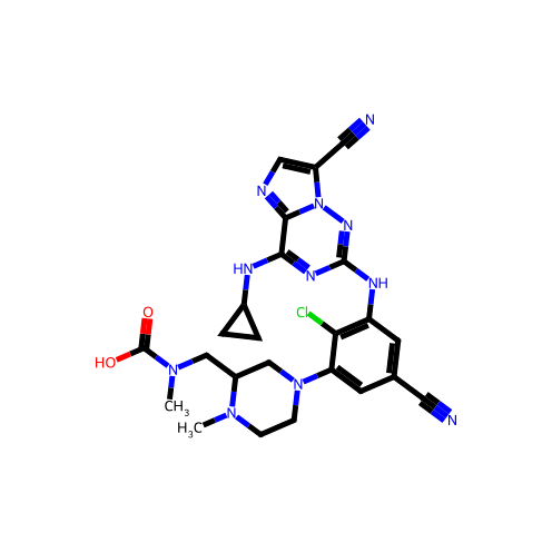 CN(CC1CN(c2cc(C#N)cc(Nc3nc(NC4CC4)c4ncc(C#N)n4n3)c2Cl)CCN1C)C(=O)O